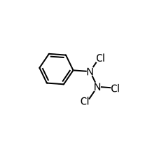 ClN(Cl)N(Cl)c1ccccc1